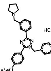 COc1ccc(-c2nc(-c3cccc(CN4CCCC4)c3)nn2Cc2ccccc2)cc1.Cl